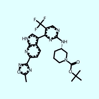 Cc1nc(-c2ccc3c(-c4nc(N[C@H]5CCCN(C(=O)OC(C)(C)C)C5)ncc4C(F)(F)F)c[nH]c3n2)no1